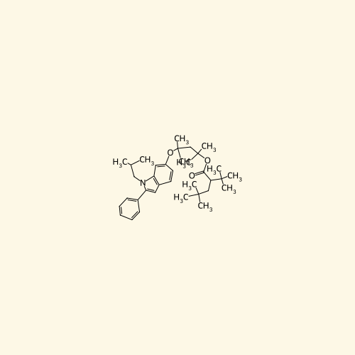 CC(C)Cn1c(-c2ccccc2)cc2ccc(OC(C)(C)CC(C)(C)OC(=O)C(CC(C)(C)C)C(C)(C)C)cc21